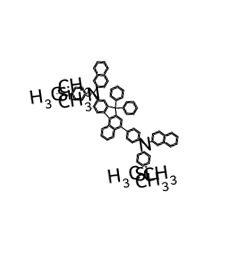 C[Si](C)(C)c1ccc(N(c2ccc(-c3cc4c(c5ccccc35)-c3ccc(N(c5ccc([Si](C)(C)C)cc5)c5ccc6ccccc6c5)cc3C4(c3ccccc3)c3ccccc3)cc2)c2ccc3ccccc3c2)cc1